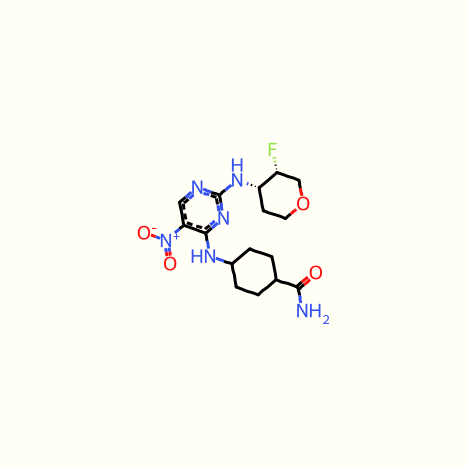 NC(=O)C1CCC(Nc2nc(N[C@H]3CCOC[C@H]3F)ncc2[N+](=O)[O-])CC1